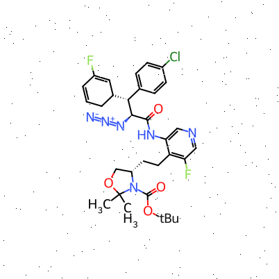 CC(C)(C)OC(=O)N1[C@@H](CCc2c(F)cncc2NC(=O)[C@@H](N=[N+]=[N-])[C@@H](c2ccc(Cl)cc2)C2C=C(F)C=CC2)COC1(C)C